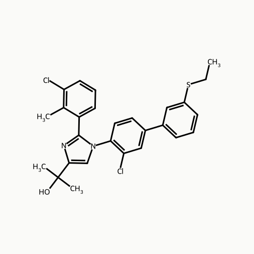 CCSc1cccc(-c2ccc(-n3cc(C(C)(C)O)nc3-c3cccc(Cl)c3C)c(Cl)c2)c1